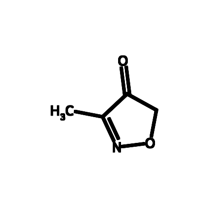 CC1=NOCC1=O